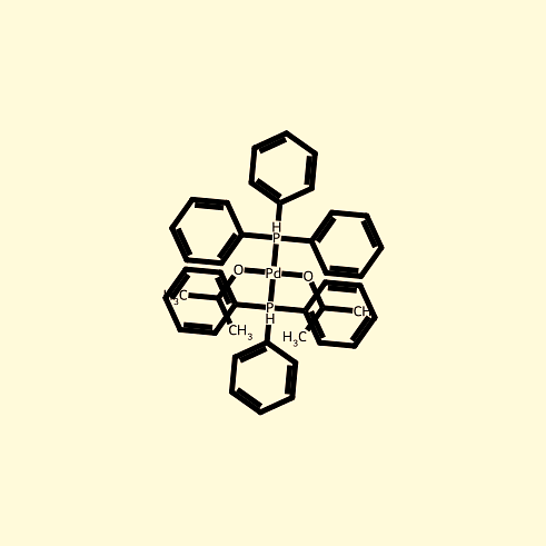 CC(C)[O][Pd]([O]C(C)C)([PH](c1ccccc1)(c1ccccc1)c1ccccc1)[PH](c1ccccc1)(c1ccccc1)c1ccccc1